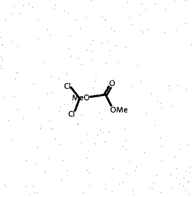 COC(=O)OC.ClCCl